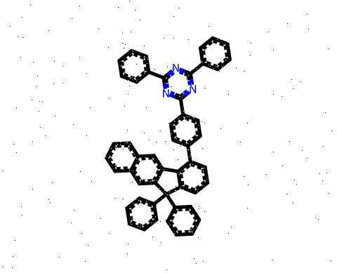 c1ccc(-c2nc(-c3ccccc3)nc(-c3ccc(-c4cccc5c4-c4cc6ccccc6cc4C5(c4ccccc4)c4ccccc4)cc3)n2)cc1